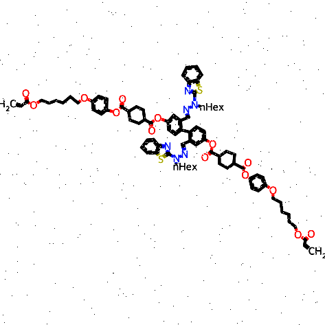 C=CC(=O)OCCCCCCOc1ccc(OC(=O)C2CCC(C(=O)Oc3ccc(-c4ccc(OC(=O)C5CCC(C(=O)Oc6ccc(OCCCCCCOC(=O)C=C)cc6)CC5)cc4/C=N/N(CCCCCC)c4nc5ccccc5s4)c(/C=N/N(CCCCCC)c4nc5ccccc5s4)c3)CC2)cc1